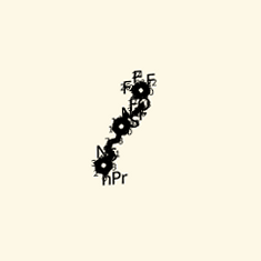 CCCc1ccc2nc(CCc3ccc4nc(C(F)(F)Oc5cc(F)c(F)c(F)c5)sc4c3)sc2c1